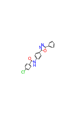 O=C(Nc1ccc(-c2nnc(-c3ccccc3)o2)cc1)c1ccc(Cl)cc1